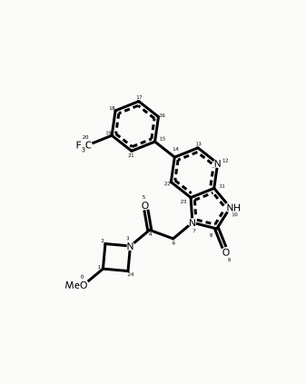 COC1CN(C(=O)Cn2c(=O)[nH]c3ncc(-c4cccc(C(F)(F)F)c4)cc32)C1